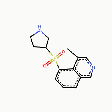 Cc1cncc2cccc(S(=O)(=O)C3CCNC3)c12